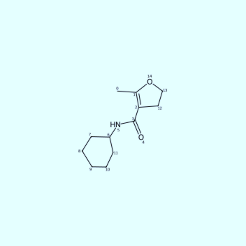 CC1=C(C(=O)NC2CCCCC2)CCO1